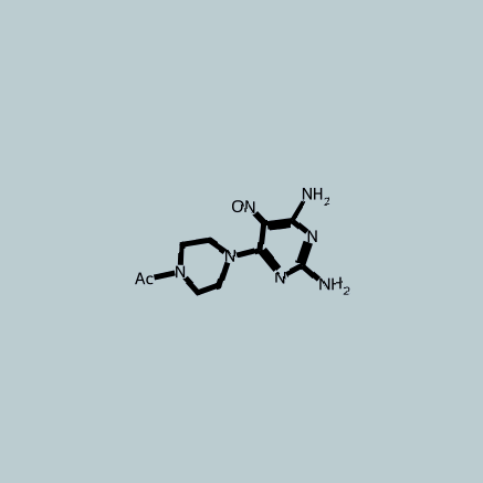 CC(=O)N1CCN(c2nc(N)nc(N)c2N=O)CC1